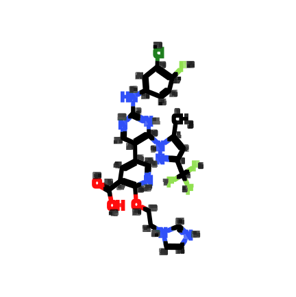 Cc1cc(C(F)(F)F)nn1-c1nc(Nc2ccc(F)c(Cl)c2)ncc1-c1cnc(OCCn2ccnc2)c(C(=O)O)c1